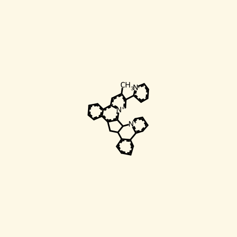 Cc1cc2c3ccccc3c3c([n+]2cc1-c1ccccn1)C1C(C3)c2ccccc2-c2cccc[n+]21